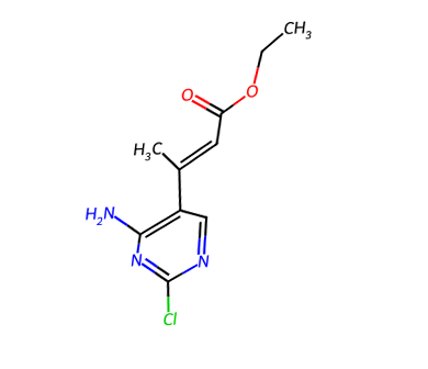 CCOC(=O)/C=C(\C)c1cnc(Cl)nc1N